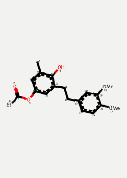 CCC(=O)Oc1cc(C)c(O)c(CCc2ccc(OC)c(OC)c2)c1